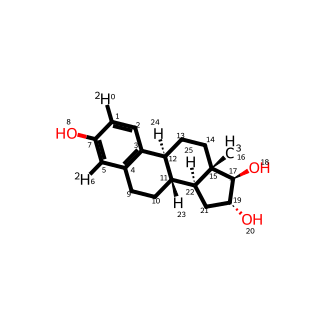 [2H]c1cc2c(c([2H])c1O)CC[C@@H]1[C@@H]2CC[C@]2(C)[C@@H](O)[C@H](O)C[C@@H]12